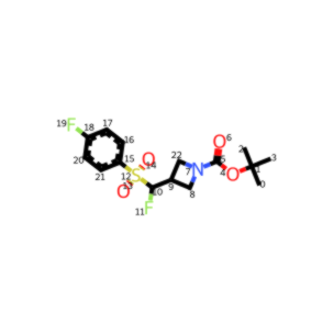 CC(C)(C)OC(=O)N1CC(C(F)S(=O)(=O)c2ccc(F)cc2)C1